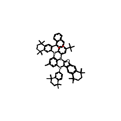 Cc1cc2c3c(c1)N(c1ccc4c(c1)C(C)(C)CCC4(C)C)c1c(oc4cc5c(cc14)C(C)(C)CCC5(C)C)B3c1cc(C(C)(C)C)ccc1N2c1cc2c(cc1-c1cccc3ccccc13)C(C)(C)CCC2(C)C